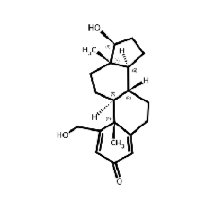 C[C@]12C(CO)=CC(=O)C=C1CC[C@@H]1[C@@H]2CC[C@]2(C)[C@@H](O)CC[C@@H]12